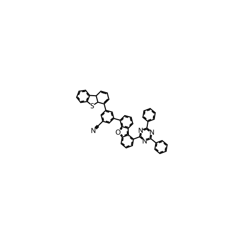 N#Cc1cc(C2=CC=CC3c4ccccc4SC23)cc(-c2cccc3c2oc2cccc(-c4nc(-c5ccccc5)nc(-c5ccccc5)n4)c23)c1